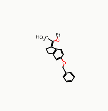 CCO/C(C(=O)O)=C1/CCc2cc(OCc3ccccc3)ccc21